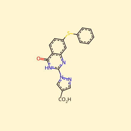 O=C(O)c1cnn(-c2nc3cc(Sc4ccccc4)ccc3c(=O)[nH]2)c1